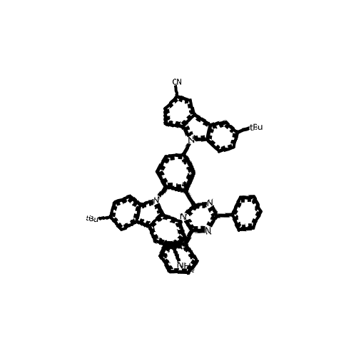 CC(C)(C)c1ccc2c(c1)c1cc(C#N)ccc1n2-c1ccc(-n2c3ccc(N)cc3c3cc(C(C)(C)C)ccc32)c(-c2nc(-c3ccccc3)nc(-c3ccccc3)n2)c1